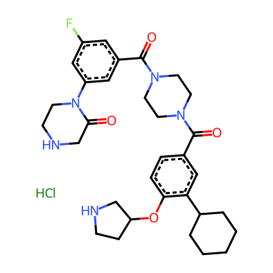 Cl.O=C(c1cc(F)cc(N2CCNCC2=O)c1)N1CCN(C(=O)c2ccc(OC3CCNC3)c(C3CCCCC3)c2)CC1